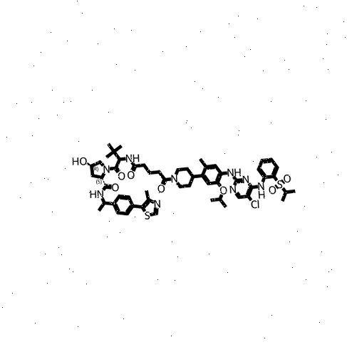 Cc1cc(Nc2ncc(Cl)c(Nc3ccccc3S(=O)(=O)C(C)C)n2)c(OC(C)C)cc1C1CCN(C(=O)CCCC(=O)NC(C(=O)N2C[C@H](O)C[C@H]2C(=O)NC(C)c2ccc(-c3scnc3C)cc2)C(C)(C)C)CC1